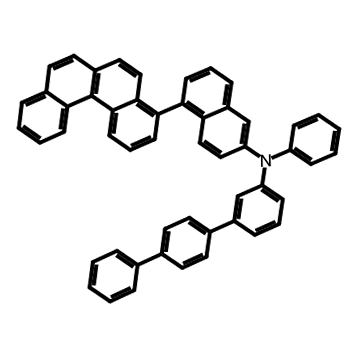 c1ccc(-c2ccc(-c3cccc(N(c4ccccc4)c4ccc5c(-c6cccc7c6ccc6ccc8ccccc8c67)cccc5c4)c3)cc2)cc1